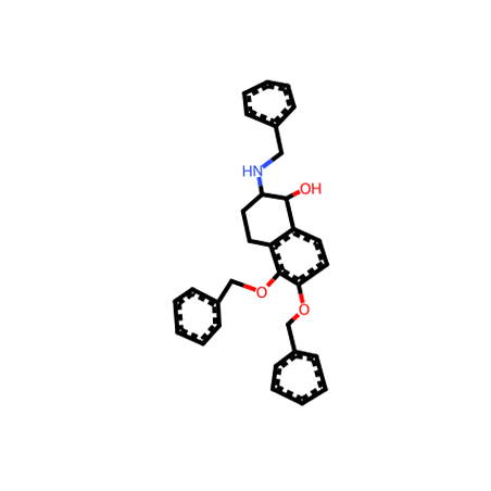 OC1c2ccc(OCc3ccccc3)c(OCc3ccccc3)c2CCC1NCc1ccccc1